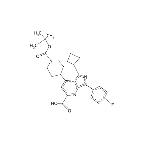 CC(C)(C)OC(=O)N1CCC(c2cc(C(=O)O)nc3c2c(C2CCC2)nn3-c2ccc(F)cc2)CC1